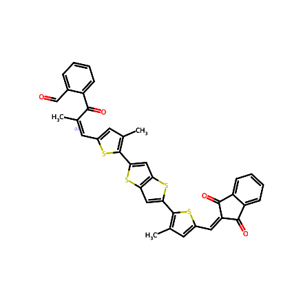 C/C(=C/c1cc(C)c(-c2cc3sc(-c4sc(C=C5C(=O)c6ccccc6C5=O)cc4C)cc3s2)s1)C(=O)c1ccccc1C=O